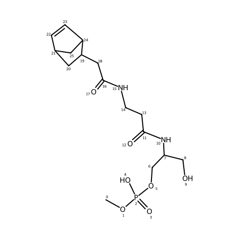 COP(=O)(O)OCC(CO)NC(=O)CCNC(=O)CC1CC2C=CC1C2